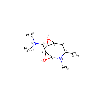 CC(CC1CO1)N(C)[C@@H]1OC1CN(C)C